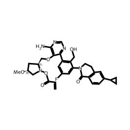 C=CC(=O)ON1C[C@H](OC)C[C@H]1COc1c(N)ncnc1-c1cc(F)cc(N2CCc3cc(C4CC4)ccc3C2=O)c1CO